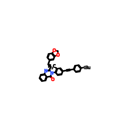 Cc1cc(C#Cc2ccc(C(C)(C)C)cc2)ccc1-n1c(C=Cc2ccc3c(c2)OCO3)nc2ccccc2c1=O